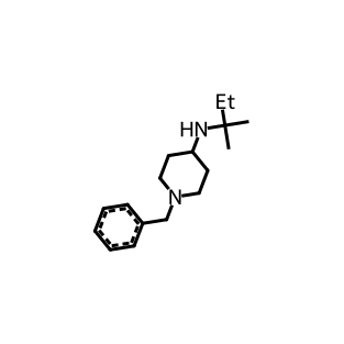 CCC(C)(C)NC1CCN(Cc2ccccc2)CC1